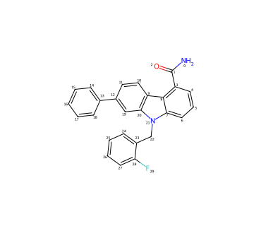 NC(=O)c1cccc2c1c1[c]cc(-c3ccccc3)cc1n2Cc1ccccc1F